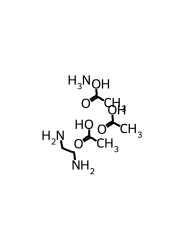 CC(=O)O.CC(=O)O.CC(=O)O.N.NCCN